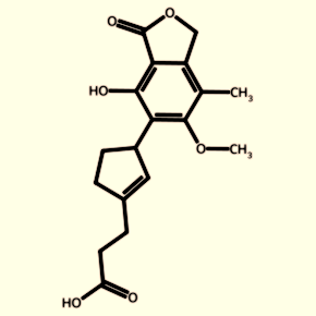 COc1c(C)c2c(c(O)c1C1C=C(CCC(=O)O)CC1)C(=O)OC2